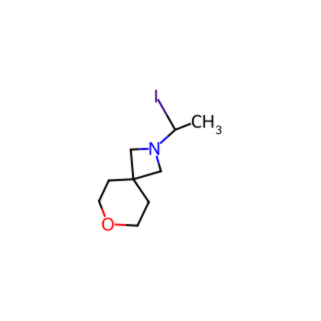 CC(I)N1CC2(CCOCC2)C1